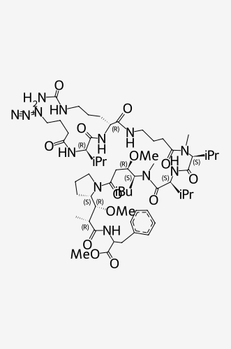 CCC(C)[C@@H]([C@@H](CC(=O)N1CCC[C@H]1[C@H](OC)[C@@H](C)C(=O)NC(Cc1ccccc1)C(=O)OC)OC)N(C)C(=O)[C@@H](NC(=O)[C@H](C(C)C)N(C)C(=O)CCCNC(=O)[C@@H](CCCNC(N)=O)NC(=O)[C@H](NC(=O)CCCN=[N+]=[N-])C(C)C)C(C)C